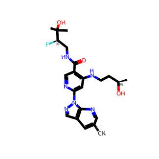 C[C@@H](O)CCNc1cc(-n2ncc3cc(C#N)cnc32)ncc1C(=O)NC[C@@H](F)C(C)(C)O